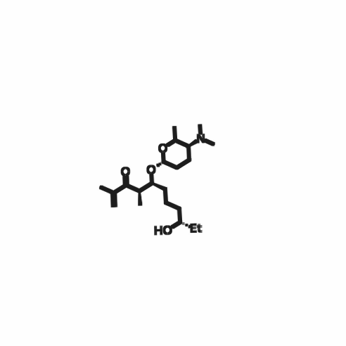 C=C(C)C(=O)[C@H](C)[C@H](CCC[C@@H](O)CC)O[C@H]1CC[C@H](N(C)C)C(C)O1